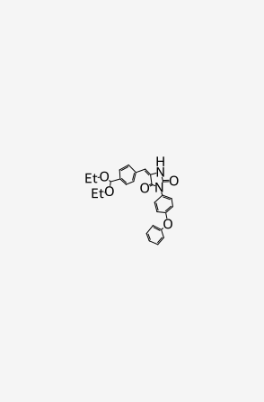 CCOC(OCC)c1ccc(C=C2NC(=O)N(c3ccc(Oc4ccccc4)cc3)C2=O)cc1